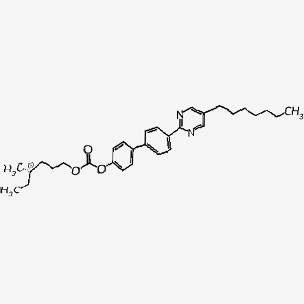 CCCCCCCc1cnc(-c2ccc(-c3ccc(OC(=O)OCCC[C@@H](C)CC)cc3)cc2)nc1